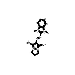 Cn1c(/N=N/c2c(O)n3n(c2=O)CCC3)[n+](C)c2ccccc21